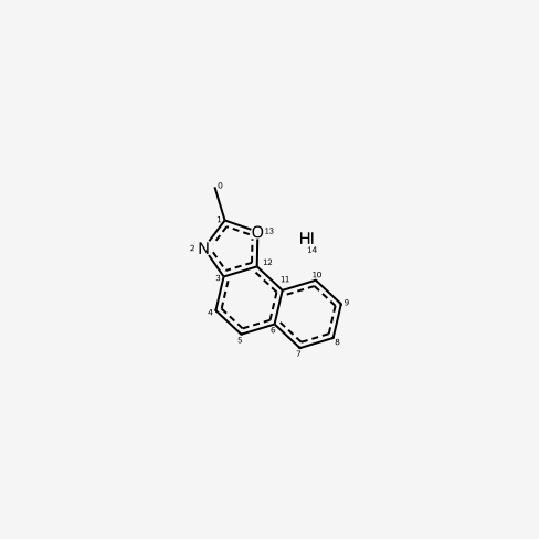 Cc1nc2ccc3ccccc3c2o1.I